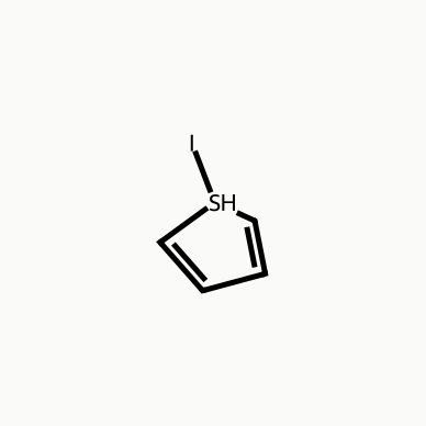 I[SH]1C=CC=C1